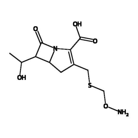 CC(O)C1C(=O)N2C(C(=O)O)=C(CSCON)CC12